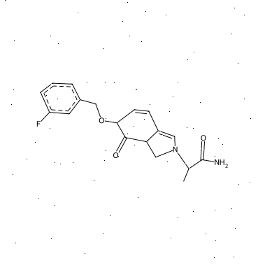 CC(C(N)=O)N1C=C2C=CC(OCc3cccc(F)c3)C(=O)C2C1